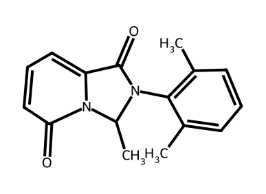 Cc1cccc(C)c1N1C(=O)c2cccc(=O)n2C1C